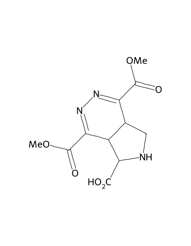 COC(=O)C1=NN=C(C(=O)OC)C2C1CNC2C(=O)O